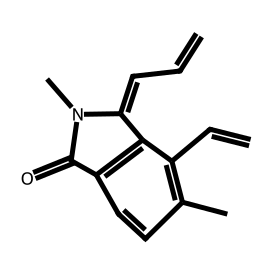 C=C/C=C1\c2c(ccc(C)c2C=C)C(=O)N1C